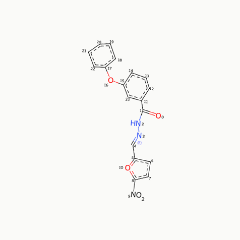 O=C(N/N=C/c1ccc([N+](=O)[O-])o1)c1cccc(Oc2ccccc2)c1